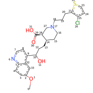 COc1ccc2nccc(C(O)CC[C@@H]3CCN(CCCc4sccc4Cl)C[C@@H]3C(=O)O)c2c1